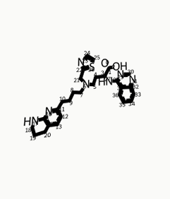 O=C(O)C(CCN(CCCCc1ccc2c(n1)NCCC2)Cc1nccs1)Nc1ncnc2ccccc12